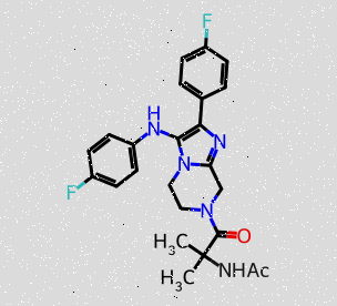 CC(=O)NC(C)(C)C(=O)N1CCn2c(nc(-c3ccc(F)cc3)c2Nc2ccc(F)cc2)C1